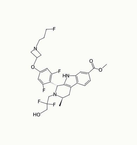 COC(=O)c1ccc2c3c([nH]c2c1)[C@@H](c1c(F)cc(OC2CN(CCCF)C2)cc1F)N(CC(F)(F)CO)[C@H](C)C3